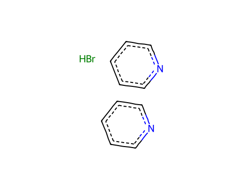 Br.c1ccncc1.c1ccncc1